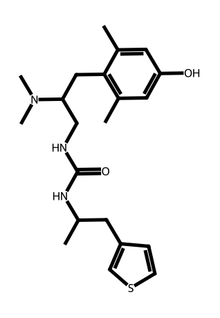 Cc1cc(O)cc(C)c1CC(CNC(=O)NC(C)Cc1ccsc1)N(C)C